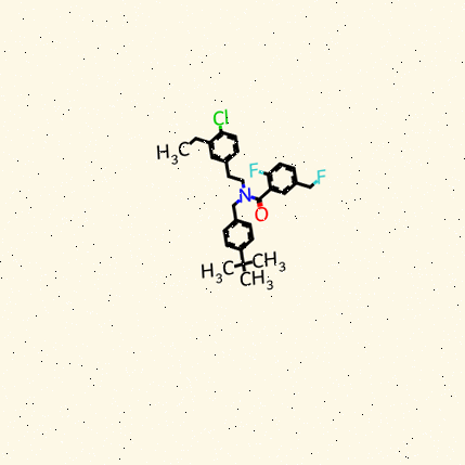 CCc1cc(CCN(Cc2ccc(C(C)(C)C)cc2)C(=O)c2cc(CF)ccc2F)ccc1Cl